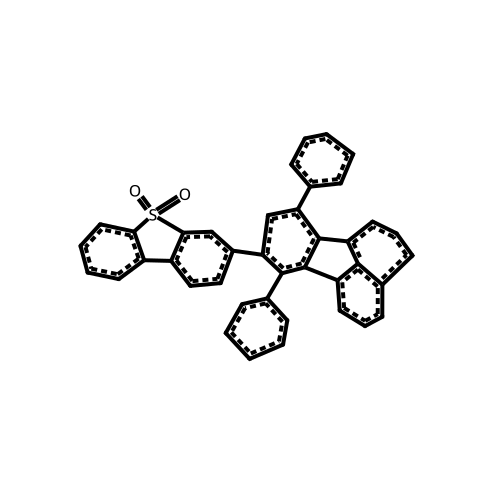 O=S1(=O)c2ccccc2-c2ccc(-c3cc(-c4ccccc4)c4c(c3-c3ccccc3)-c3cccc5cccc-4c35)cc21